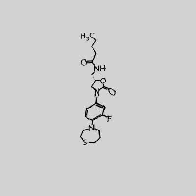 CCCCC(=O)NC[C@H]1CN(c2ccc(N3CCCSCC3)c(F)c2)C(=O)O1